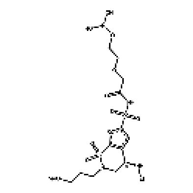 CCN[C@H]1CN(CCCOC)S(=O)(=O)c2sc(S(=O)(=O)NC(=O)COCCON(O)O)cc21